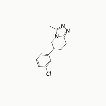 Cc1nnc2n1CC(c1cccc(Cl)c1)CC2